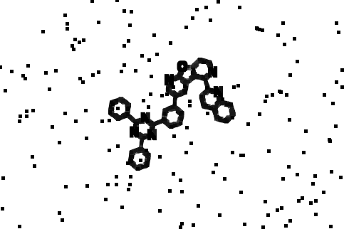 c1ccc(-c2nc(-c3ccccc3)nc(-c3cccc(-c4cnc5oc6ccnc(-c7ccc8ccccc8n7)c6c5c4)c3)n2)cc1